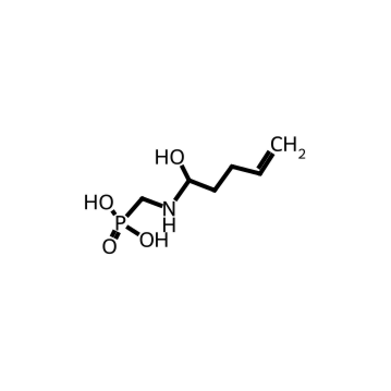 C=CCCC(O)NCP(=O)(O)O